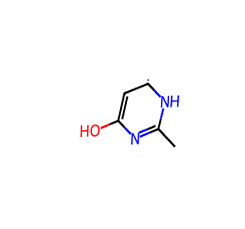 CC1=NC(O)=C[CH]N1